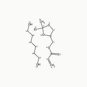 C=CC(=O)OCC1COC(C)(CC)O1.OCCCCCCO